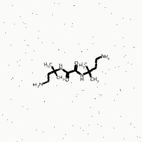 CC(C)(CCN)NC(=O)C(=O)NC(C)(C)CCN